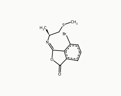 CSC[C@H](C)/N=C1/OC(=O)c2cccc(Br)c21